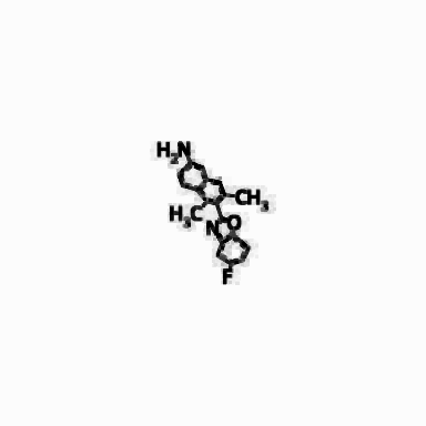 Cc1cc2cc(N)ccc2c(C)c1-c1nc2cc(F)ccc2o1